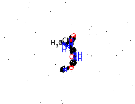 CC(C)Nc1cc(N2C3CCC2COC3)nc(-c2ccc(NC(=O)Nc3ccc(OCCN4CCCC4)cc3)cc2)n1